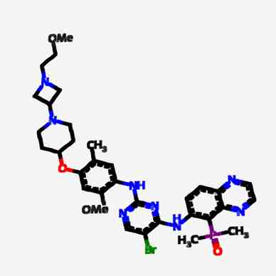 COCCN1CC(N2CCC(Oc3cc(OC)c(Nc4ncc(Br)c(Nc5ccc6nccnc6c5P(C)(C)=O)n4)cc3C)CC2)C1